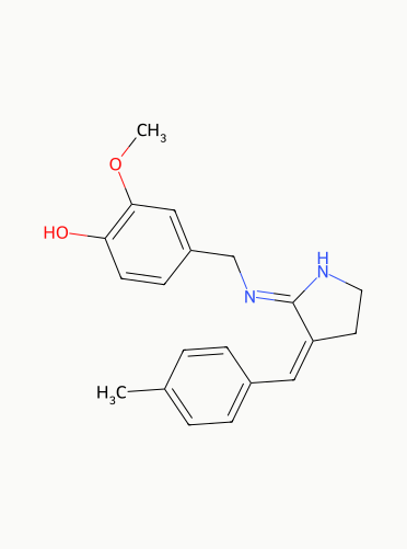 COc1cc(C/N=C2\NCC\C2=C\c2ccc(C)cc2)ccc1O